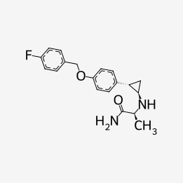 C[C@H](N[C@@H]1C[C@H]1c1ccc(OCc2ccc(F)cc2)cc1)C(N)=O